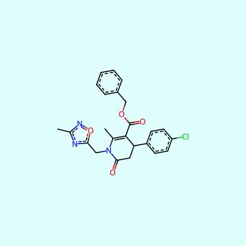 CC1=C(C(=O)OCc2ccccc2)C(c2ccc(Cl)cc2)CC(=O)N1Cc1nc(C)no1